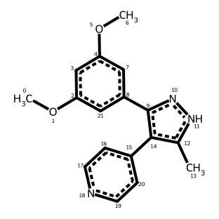 COc1cc(OC)cc(-c2n[nH]c(C)c2-c2ccncc2)c1